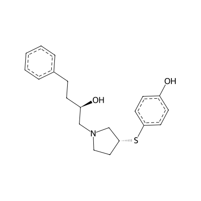 Oc1ccc(S[C@@H]2CCN(C[C@H](O)CCc3ccccc3)C2)cc1